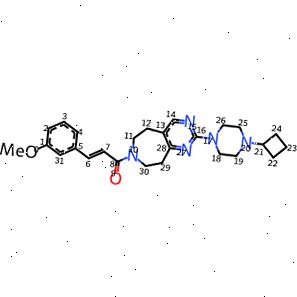 COc1cccc(C=CC(=O)N2CCc3cnc(N4CCN(C5CCC5)CC4)nc3CC2)c1